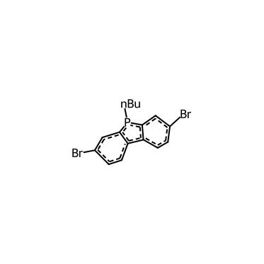 CCCCp1c2cc(Br)ccc2c2ccc(Br)cc21